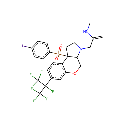 C=C(CN1CCC2(S(=O)(=O)c3ccc(I)cc3)c3ccc(C(F)(C(F)(F)F)C(F)(F)F)cc3OCC12)NC